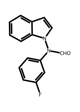 O=CN(c1cccc(F)c1)n1ccc2ccccc21